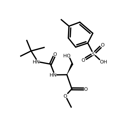 COC(=O)[C@H](CO)NC(=O)NC(C)(C)C.Cc1ccc(S(=O)(=O)O)cc1